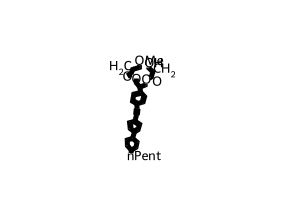 C=C(CO)C(=O)OCC(COC(=O)C(=C)COC)c1ccc(C#Cc2ccc(C3CCC(CCCCC)CC3)cc2)cc1